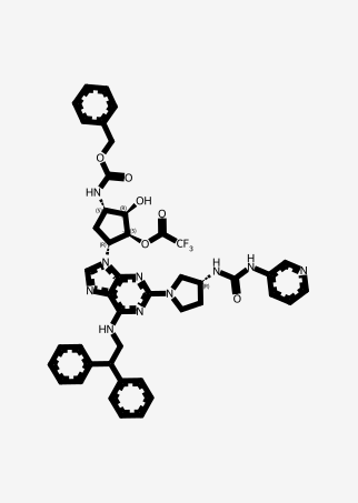 O=C(Nc1cccnc1)N[C@@H]1CCN(c2nc(NCC(c3ccccc3)c3ccccc3)c3ncn([C@@H]4C[C@H](NC(=O)OCc5ccccc5)[C@@H](O)[C@H]4OC(=O)C(F)(F)F)c3n2)C1